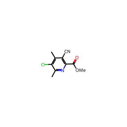 COC(=O)c1nc(C)c(Cl)c(C)c1C#N